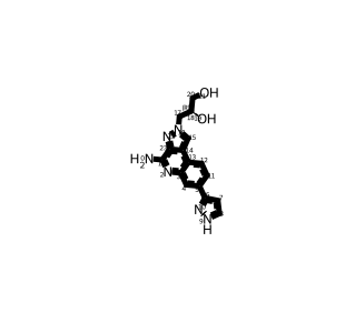 Nc1nc2cc(-c3cc[nH]n3)ccc2c2cn(C[C@@H](O)CO)nc12